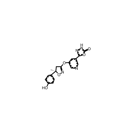 C[C@]1(c2ccc(O)cc2)CC(Oc2cncc(-c3n[nH]c(=O)o3)c2)=NO1